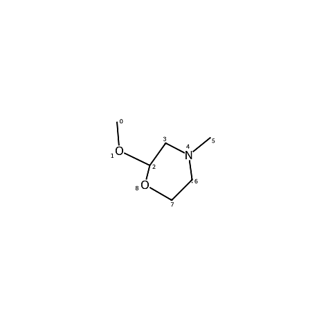 COC1CN(C)[CH]CO1